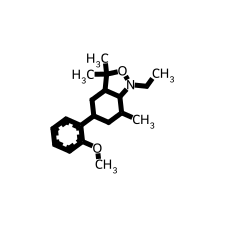 CCN1OC(C)(C)C2CC(c3ccccc3OC)CC(C)C21